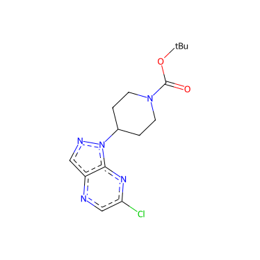 CC(C)(C)OC(=O)N1CCC(n2ncc3ncc(Cl)nc32)CC1